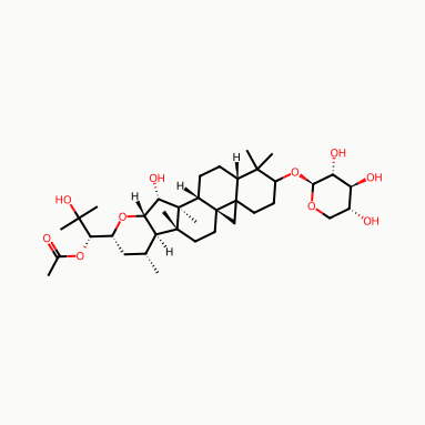 CC(=O)O[C@@H]([C@H]1C[C@@H](C)[C@H]2[C@H](O1)[C@H](O)[C@@]1(C)[C@@H]3CC[C@@H]4C(C)(C)C(O[C@@H]5OC[C@@H](O)[C@H](O)[C@H]5O)CCC45C[C@@]35CC[C@]21C)C(C)(C)O